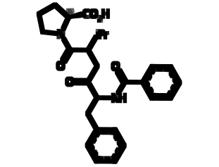 CC(C)C(CC(=O)C(Cc1ccccc1)NC(=O)c1ccccc1)C(=O)N1CCC[C@H]1C(=O)O